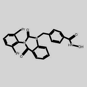 CC(C)c1cccc(C(C)C)c1-n1c(=O)c2ccccc2n(Cc2ccc(C(=O)NO)cc2)c1=O